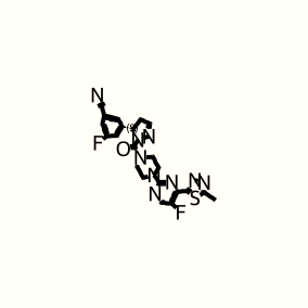 Cc1nnc(-c2nc(N3CCN(C(=O)N4N=CC[C@H]4c4cc(F)cc(C#N)c4)CC3)ncc2F)s1